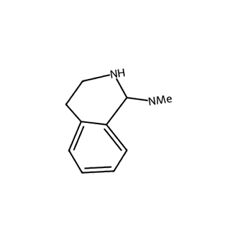 CNC1NCCc2ccccc21